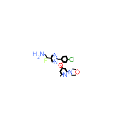 Cc1cc(Oc2cc(Cl)ccc2-c2ncc([C@@H](F)CN)cn2)cc(N2CCOCC2)n1